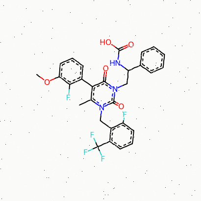 COc1cccc(-c2c(C)n(Cc3c(F)cccc3C(F)(F)F)c(=O)n(CC(NC(=O)O)c3ccccc3)c2=O)c1F